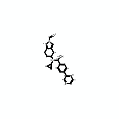 O=Cn1cc2c(n1)CCC(N(C1CC1)C(O)c1ccc(-c3cnccn3)cc1)C2